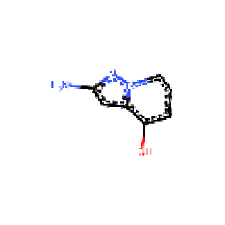 Nc1cc2c(O)cccn2n1